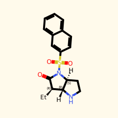 CC[C@H]1C(=O)N(S(=O)(=O)c2ccc3ccccc3c2)[C@H]2CCN[C@H]12